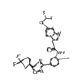 Cc1ccc(-c2noc(C3CC(F)(F)C3)n2)cc1NC(=O)c1cnc2cc(OC(F)F)ccn12